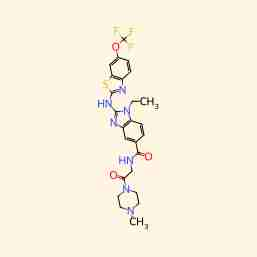 CCn1c(Nc2nc3ccc(OC(F)(F)F)cc3s2)nc2cc(C(=O)NCC(=O)N3CCN(C)CC3)ccc21